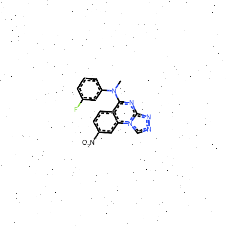 CN(c1cccc(F)c1)c1nc2nncn2c2cc([N+](=O)[O-])ccc12